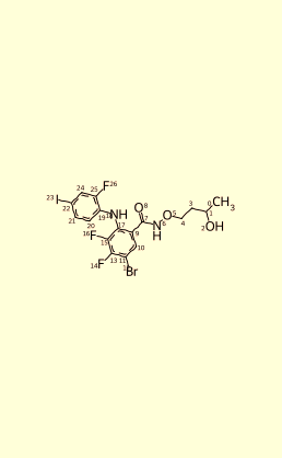 CC(O)CCONC(=O)c1cc(Br)c(F)c(F)c1Nc1ccc(I)cc1F